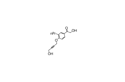 CCCc1cc(C(=O)CO)ccc1OCC#CCO